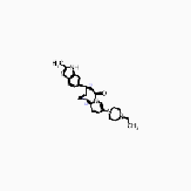 CCN1CCN(C2=CN3C(=O)\C=C(c4ccc5nc(C)[nH]c5c4)/C=C/C=C/3C=C2)CC1